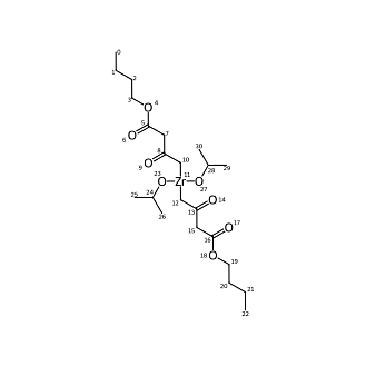 CCCCOC(=O)CC(=O)[CH2][Zr]([CH2]C(=O)CC(=O)OCCCC)([O]C(C)C)[O]C(C)C